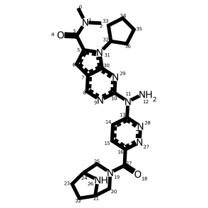 CN(C)C(=O)c1cc2cnc(N(N)c3ccc(C(=O)N4CC5CCC(C4)N5)nn3)nc2n1C1CCCC1